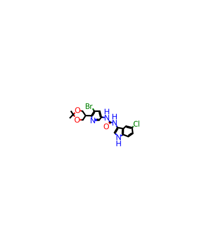 CC1(C)OCC(c2ncc(NC(=O)Nc3c[nH]c4ccc(Cl)cc34)cc2Br)CO1